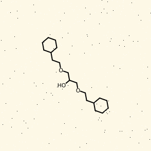 OC(COCCC1CCCCC1)COCCC1CCCCC1